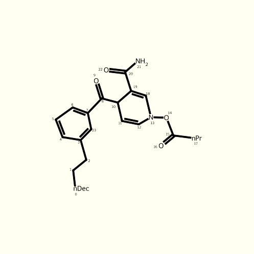 CCCCCCCCCCCCc1cccc(C(=O)C2C=CN(OC(=O)CCC)C=C2C(N)=O)c1